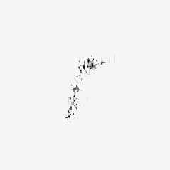 COC(=O)N[C@@H](C)C(=O)N1CCC[C@H]1c1ncc(-c2cnc(-c3ccc(-c4cnc([C@@H]5CCCN5C(=O)[C@H](C)NC(=O)O)[nH]4)cc3)nc2)[nH]1